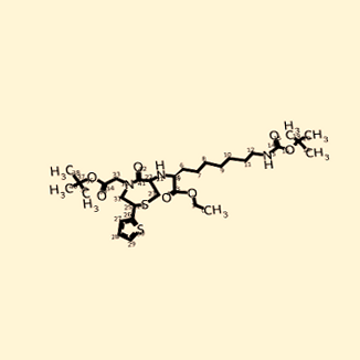 CCOC(=O)[C@H](CCCCCCCNC(=O)OC(C)(C)C)NC1CSC(c2cccs2)CN(CC(=O)OC(C)(C)C)C1=O